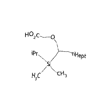 CCCCCCCC(OC(=O)O)[Si](C)(C)C(C)C